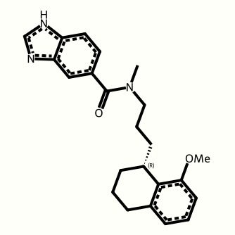 COc1cccc2c1[C@@H](CCCN(C)C(=O)c1ccc3[nH]cnc3c1)CCC2